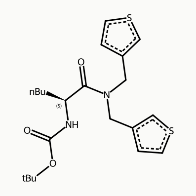 [CH2]CCC[C@H](NC(=O)OC(C)(C)C)C(=O)N(Cc1ccsc1)Cc1ccsc1